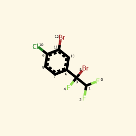 FC(F)C(F)(Br)c1ccc(Cl)c(Br)c1